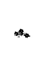 Cc1ccc(CNC(=O)c2ccccc2S(=O)(=O)Nc2cccnc2)cc1